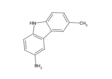 Bc1ccc2[nH]c3ccc(C)cc3c2c1